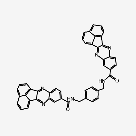 O=C(NCc1ccc(CNC(=O)c2ccc3nc4c(nc3c2)-c2cccc3cccc-4c23)cc1)c1ccc2nc3c(nc2c1)-c1cccc2cccc-3c12